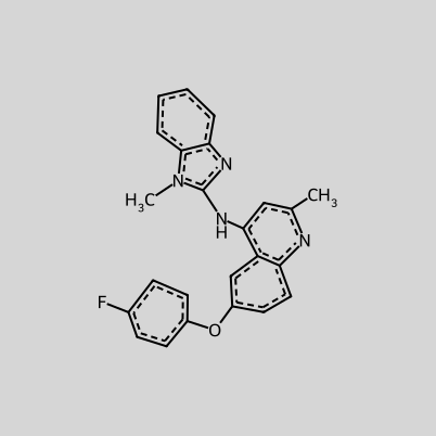 Cc1cc(Nc2nc3ccccc3n2C)c2cc(Oc3ccc(F)cc3)ccc2n1